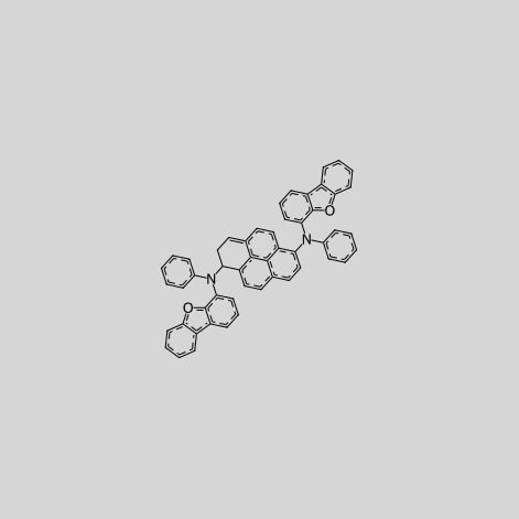 C1=c2ccc3c(N(c4ccccc4)c4cccc5c4oc4ccccc45)ccc4ccc(c2c43)C(N(c2ccccc2)c2cccc3c2oc2ccccc23)C1